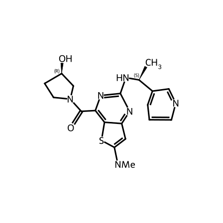 CNc1cc2nc(N[C@@H](C)c3cccnc3)nc(C(=O)N3CC[C@@H](O)C3)c2s1